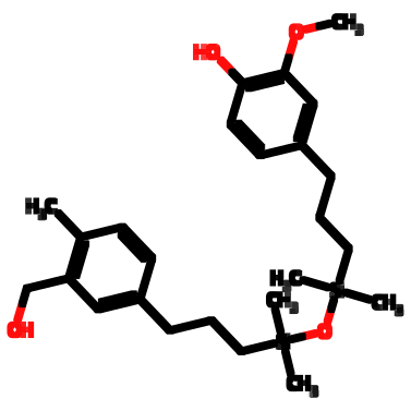 COc1cc(CCC[Si](C)(C)O[Si](C)(C)CCCc2ccc(C)c(CO)c2)ccc1O